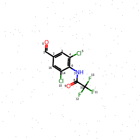 O=Cc1cc(Cl)c(NC(=O)C(F)(F)F)c(Cl)c1